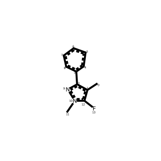 Cc1c(-c2ccccc2)nn(C)c1F